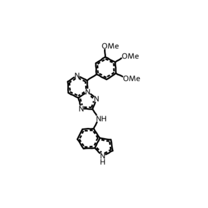 COc1cc(-c2nccc3nc(Nc4cccc5[nH]ccc45)nn23)cc(OC)c1OC